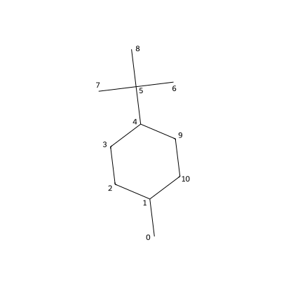 CC1CCC(C(C)(C)C)CC1